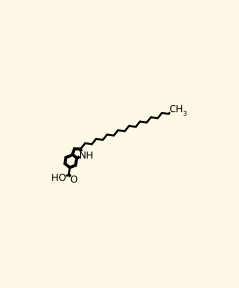 CCCCCCCCCCCCCCCCCc1cc2ccc(C(=O)O)cc2[nH]1